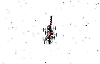 CCCCCCCCCCCCC(=O)N[C@@H](CCC(=O)N[C@@H](CCC(=O)N[C@@H](CCC(=O)NCC)C(=O)O)C(=O)O)C(=O)O